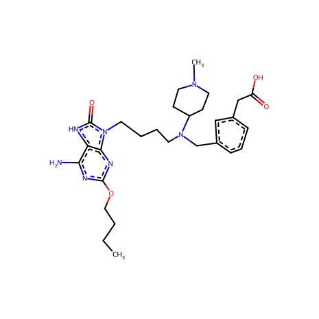 CCCCOc1nc(N)c2[nH]c(=O)n(CCCCN(Cc3cccc(CC(=O)O)c3)C3CCN(C)CC3)c2n1